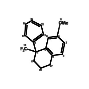 COc1ccc2c(c1)C(c1ccccc1)(C(F)(F)F)CCC2